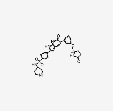 O=C1CC[C@@H](COc2cccc(-n3cc4cc(-c5ccc(S(=O)(=O)NC6CCNCC6)cc5)[nH]c4nc3=O)c2)N1